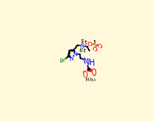 CC[N+](CC)(Cc1cc(Br)nn1CCNC(=O)OC(C)(C)C)C(C)OS(C)(=O)=O